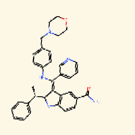 C[C@H](c1ccccc1)C1Nc2ccc(C(N)=O)cc2/C1=C(/Nc1ccc(CN2CCOCC2)cc1)c1cccnc1